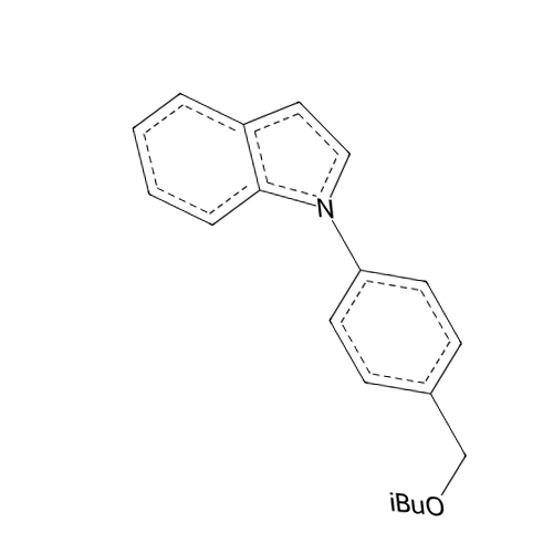 CC(C)COCc1ccc(-n2ccc3ccccc32)cc1